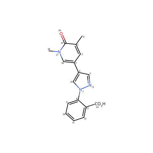 Cc1cc(-c2cnn(-c3ccccc3C(=O)O)c2)cn(C)c1=O